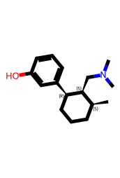 C[C@H]1CCC[C@@H](c2cccc(O)c2)[C@H]1CN(C)C